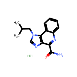 CC(C)Cn1cnc2c(C(N)=O)nc3ccccc3c21.Cl